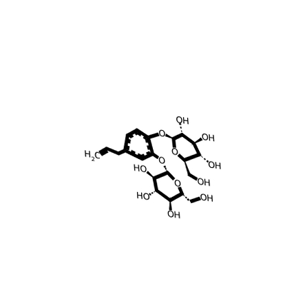 C=CCc1ccc(O[C@@H]2O[C@H](CO)[C@@H](O)[C@H](O)[C@H]2O)c(O[C@@H]2O[C@H](CO)[C@@H](O)[C@H](O)[C@H]2O)c1